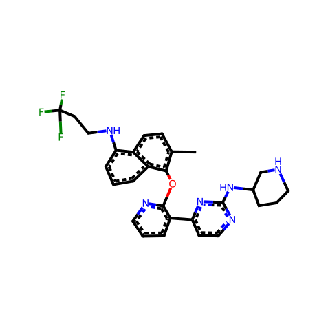 Cc1ccc2c(NCCC(F)(F)F)cccc2c1Oc1ncccc1-c1ccnc(NC2CCCNC2)n1